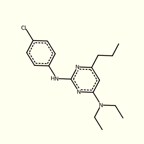 CCCc1cc(N(CC)CC)nc(Nc2ccc(Cl)cc2)n1